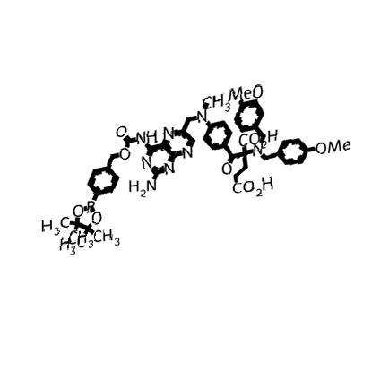 COc1ccc(CN(Cc2ccc(OC)cc2)C(CCC(=O)O)(C(=O)O)C(=O)c2ccc(N(C)Cc3cnc4nc(N)nc(NC(=O)OCc5ccc(B6OC(C)(C)C(C)(C)O6)cc5)c4n3)cc2)cc1